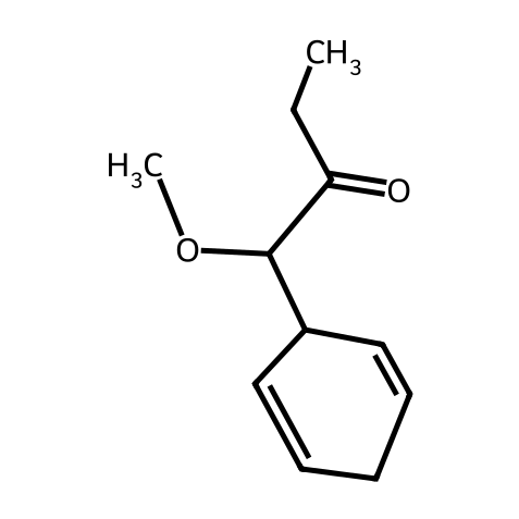 CCC(=O)C(OC)C1C=CCC=C1